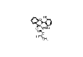 CCc1ccccc1C(=O)N(C(=O)c1ccccc1)N(C(=O)OC(C)Cl)C(C)(C)C